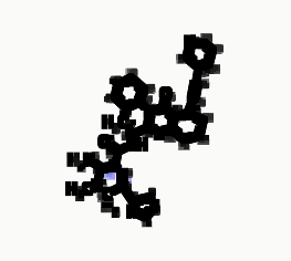 C=N/C(N)=C(\N=C(/C)c1cscn1)C(=O)N[C@@H](C)c1nc2cccc(C#Cc3cccnc3)c2c(=O)n1-c1ccccc1